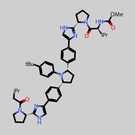 COC(=O)N[C@H](C(=O)N1CCC[C@H]1c1nc(-c2ccc([C@@H]3CC[C@H](c4ccc(-c5c[nH]c([C@@H]6CCCN6C(=O)[CH]C(C)C)n5)cc4)N3c3ccc(C(C)(C)C)cc3)cc2)c[nH]1)C(C)C